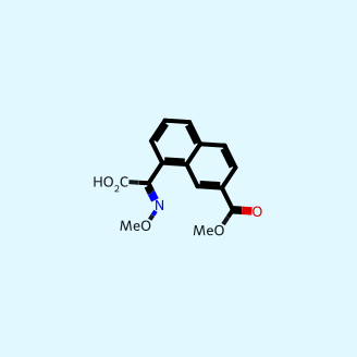 CON=C(C(=O)O)c1cccc2ccc(C(=O)OC)cc12